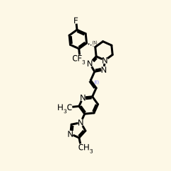 Cc1cn(-c2ccc(/C=C/c3nc4n(n3)CCC[C@H]4c3cc(F)ccc3C(F)(F)F)nc2C)cn1